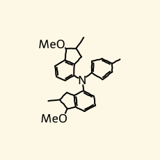 COC1c2cccc(N(c3ccc(C)cc3)c3cccc4c3CC(C)C4OC)c2CC1C